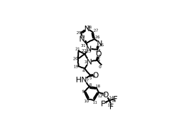 CC(=O)N1C(C(=O)Nc2cccc(OC(F)(F)F)c2)CC2CC21n1cnc2cncnc21